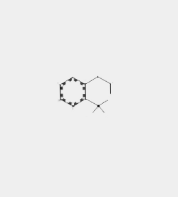 CC1(C)SCCc2cc[c]cc21